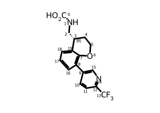 O=C(O)NC[C@@H]1CCOc2c(-c3ccc(C(F)(F)F)nc3)cccc21